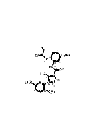 CCC(CI)Oc1ccc(C(C)(C)C)cc1NC(=O)c1nnn(-c2cc(OC)ccc2OC)c1C